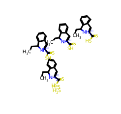 CCC(N)c1ccccc1/C=C/C(=S)S.CCC(N)c1ccccc1/C=C/C(=S)S.CCC(N)c1ccccc1/C=C/C(=S)S.CCC(N)c1ccccc1/C=C/C(=S)S.S.S